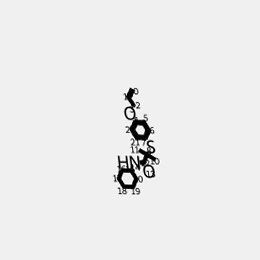 C=CCOc1ccc(SC(C)(C)C(=O)NC2CCCCC2)cc1